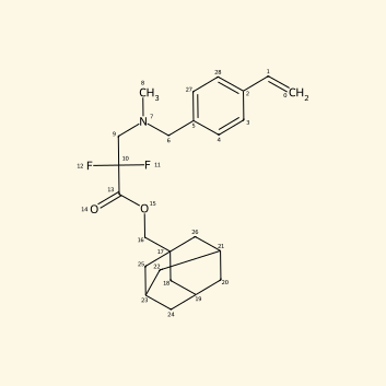 C=Cc1ccc(CN(C)CC(F)(F)C(=O)OCC23CC4CC(CC(C4)C2)C3)cc1